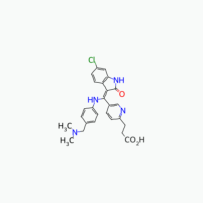 CN(C)Cc1ccc(NC(=C2C(=O)Nc3cc(Cl)ccc32)c2ccc(CCC(=O)O)nc2)cc1